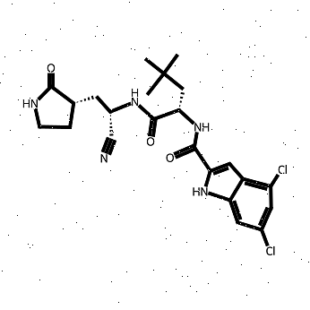 CC(C)(C)C[C@H](NC(=O)c1cc2c(Cl)cc(Cl)cc2[nH]1)C(=O)N[C@H](C#N)C[C@@H]1CCNC1=O